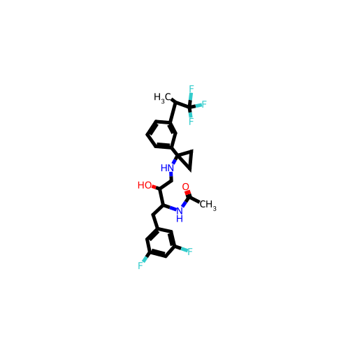 CC(=O)NC(Cc1cc(F)cc(F)c1)C(O)CNC1(c2cccc(C(C)C(F)(F)F)c2)CC1